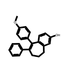 COc1ccc(C2=C(c3ccccc3)CCCc3cc(O)ccc32)cc1